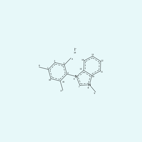 Cc1cc(C)c(-[n+]2cn(C)c3ccccc32)c(C)c1.[I-]